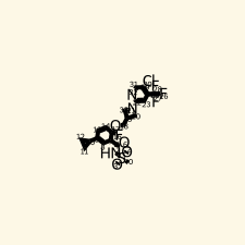 CS(=O)(=O)NC(=O)C1C=C(C2CC2)C=CC1(F)OCC1CN(c2cc(C(F)(F)F)c(Cl)cn2)C1